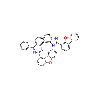 c1ccc(-c2nc(-c3cccc4oc5ccc(-n6c(-c7cccc8c7oc7ccccc78)nc7ccccc76)cc5c34)nc3ccccc23)cc1